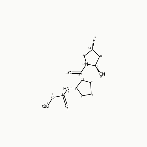 CC(C)(C)OC(=O)N[C@H]1CCC[C@H]1C(=O)N1C[C@@H](F)C[C@H]1C#N